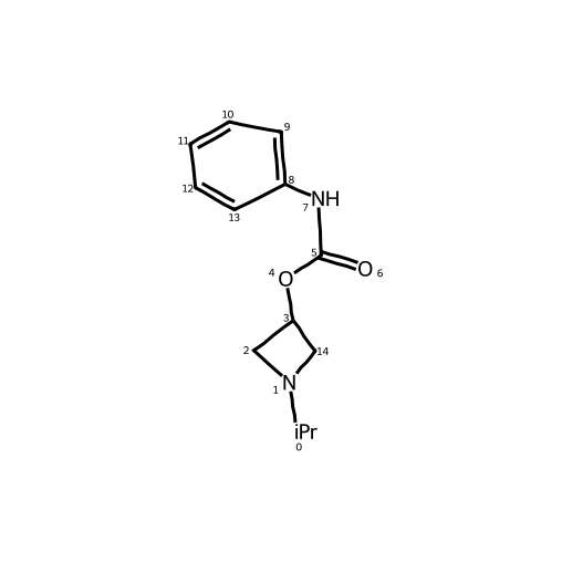 CC(C)N1CC(OC(=O)Nc2ccccc2)C1